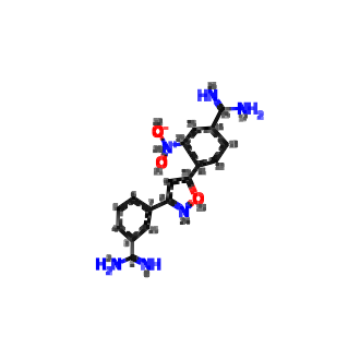 N=C(N)c1cccc(-c2cc(-c3ccc(C(=N)N)cc3[N+](=O)[O-])on2)c1